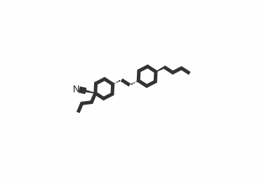 CCCC[C@H]1CC[C@H](CC[C@H]2CC[C@@](C#N)(CCC)CC2)CC1